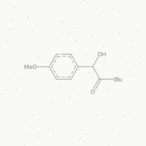 COc1ccc(C(O)C(=O)C(C)(C)C)cc1